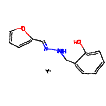 Oc1ccccc1CNN=Cc1ccco1.[Y]